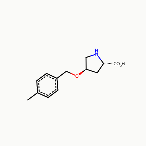 Cc1ccc(CO[C@H]2CN[C@H](C(=O)O)C2)cc1